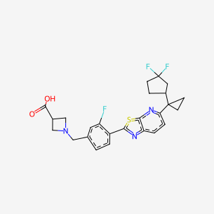 O=C(O)C1CN(Cc2ccc(-c3nc4ccc(C5(C6CCC(F)(F)C6)CC5)nc4s3)c(F)c2)C1